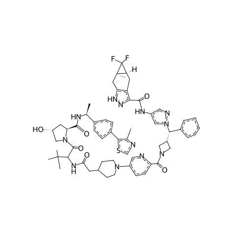 Cc1ncsc1-c1ccc([C@H](C)NC(=O)[C@@H]2C[C@@H](O)CN2C(=O)C(NC(=O)CC2CCN(c3ccc(C(=O)N4CC([C@@H](c5ccccc5)n5cc(NC(=O)c6n[nH]c7c6C[C@@H]6C(F)(F)[C@]6(C)C7)cn5)C4)nc3)CC2)C(C)(C)C)cc1